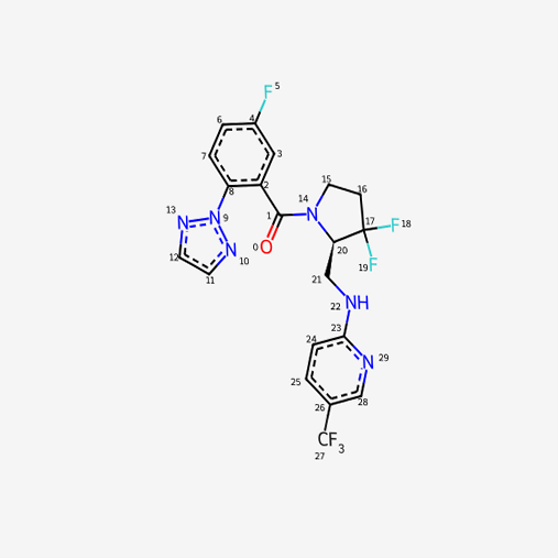 O=C(c1cc(F)ccc1-n1nccn1)N1CCC(F)(F)[C@H]1CNc1ccc(C(F)(F)F)cn1